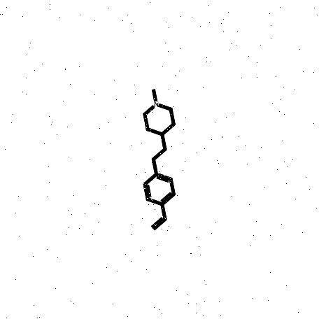 C=Cc1ccc(CCC2CCN(C)CC2)cc1